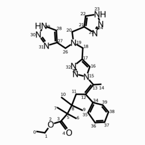 CCOC(=O)C(C)(C)C(C)(C)C/C(=C(/C)n1cc(CN(Cc2c[nH]nn2)Cc2c[nH]nn2)nn1)c1ccccc1